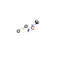 COC(=O)c1c(-c2cnn(CC34CC5CC(CC(C5)C3)C4)c2C)sc2c(Nc3ccccc3C(=O)Nc3nc4ccccc4s3)c(C)nn12